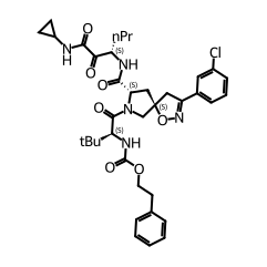 CCC[C@H](NC(=O)[C@@H]1C[C@]2(CC(c3cccc(Cl)c3)=NO2)CN1C(=O)[C@@H](NC(=O)OCCc1ccccc1)C(C)(C)C)C(=O)C(=O)NC1CC1